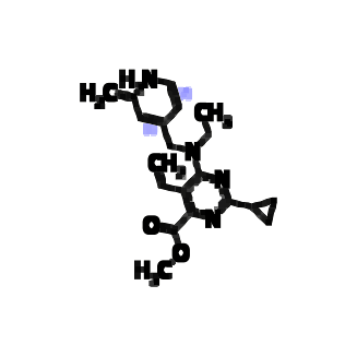 C=C/C=C(\C=C/N)CN(CC)c1nc(C2CC2)nc(C(=O)OC)c1C=C